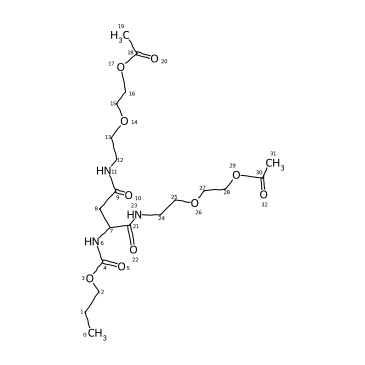 CCCOC(=O)NC(CC(=O)NCCOCCOC(C)=O)C(=O)NCCOCCOC(C)=O